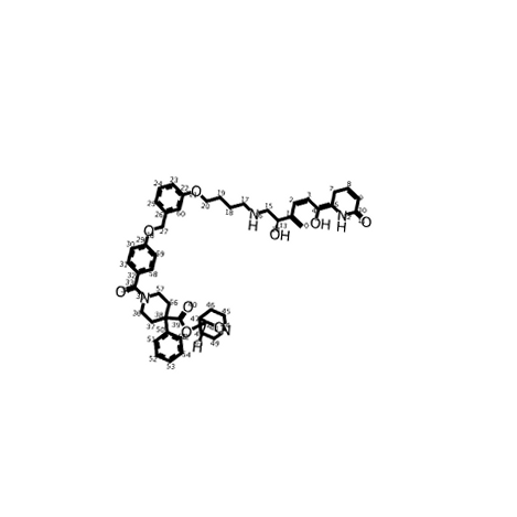 C=C(/C=C\C(O)=C1/CC=CC(=O)N1)[C@@H](O)CNCCCCOc1cccc(COc2ccc(C(=O)N3CCC(C(=O)O[C@H]4CN5CCC4CC5)(c4ccccc4)CC3)cc2)c1